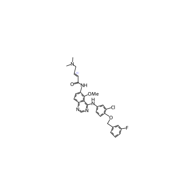 COc1c(NC(=O)/C=C/CN(C)C)ccc2ncnc(Nc3ccc(OCc4cccc(F)c4)c(Cl)c3)c12